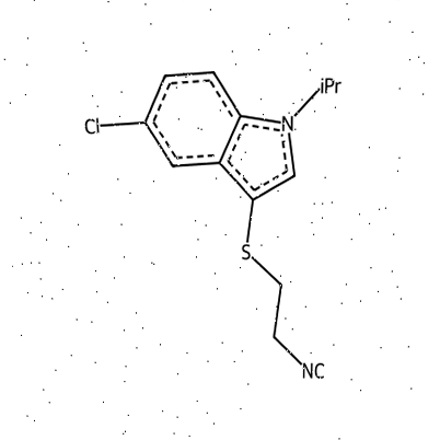 [C-]#[N+]CCSc1cn(C(C)C)c2ccc(Cl)cc12